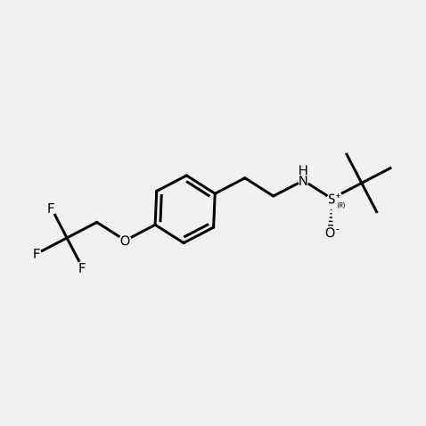 CC(C)(C)[S@+]([O-])NCCc1ccc(OCC(F)(F)F)cc1